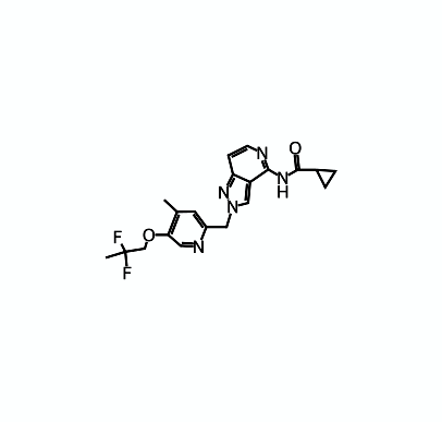 Cc1cc(Cn2cc3c(NC(=O)C4CC4)nccc3n2)ncc1OCC(C)(F)F